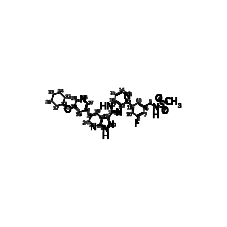 CS(=O)(=O)NCc1cc(F)cc(-c2nccc3[nH]c(-c4n[nH]c5ncc(-c6cncc(OC7CCCCC7)c6)cc45)nc23)c1